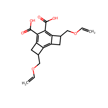 C=COCC1Cc2c(C(=O)O)c(C(=O)O)c3c(c21)CC3COC=C